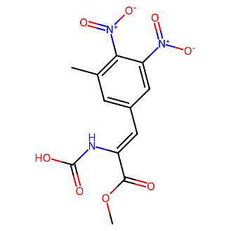 COC(=O)C(=Cc1cc(C)c([N+](=O)[O-])c([N+](=O)[O-])c1)NC(=O)O